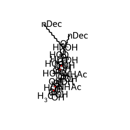 CCCCCCCCCCCCC/C=C/[C@@H](O)[C@H](CO[C@@H]1OC(CO)[C@@H](O[C@@H]2OC(CO)[C@H](O[C@@H]3OC(CO)[C@H](O)[C@H](O[C@@H]4OC(CO[C@@H]5OC(CO)[C@@H](O)[C@H](O[C@H]6C(O)[C@H](O)C(C)O[C@H]6O)C5NC(C)=O)[C@H](O)[C@H](O)C4NC(C)=O)C3O)[C@H](O)C2O)[C@H](O)C1O)NC(=O)CCCCCCCCCCCCCCCCCCCCCCC